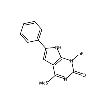 CCCn1c(=O)nc(SC)c2cc(-c3ccccc3)[nH]c21